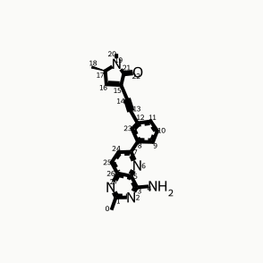 Cc1nc(N)c2nc(-c3cccc(C#CC4=C[C@@H](C)N(C)C4=O)c3)ccc2n1